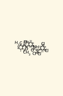 CCc1cccc(C)c1NC(=O)c1cc(NC(=O)[C@@H]2[C@@H](c3cc(Cl)cc(Cl)c3)C2(Cl)Cl)ccc1Cl